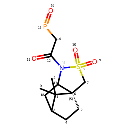 CC1(C)C2CC[C@]13CS(=O)(=O)N(C(=O)CP=O)C3C2